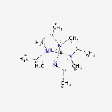 CC[N](C)[Ni]([N](C)CC)([N](C)CC)[N](C)CC